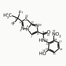 CC(F)(F)c1nn2cc(C(=O)Nc3c(O)cccc3[N+](=O)[O-])nc2s1